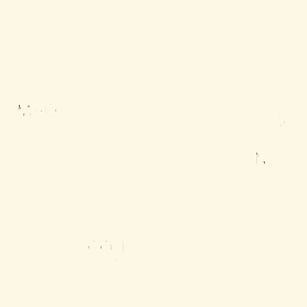 COc1ccc(C(=C(c2ccc(C=CC(=O)O)cc2)c2ccc3scnc3c2)C2CCC2)cc1